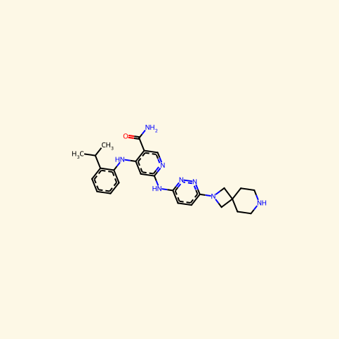 CC(C)c1ccccc1Nc1cc(Nc2ccc(N3CC4(CCNCC4)C3)nn2)ncc1C(N)=O